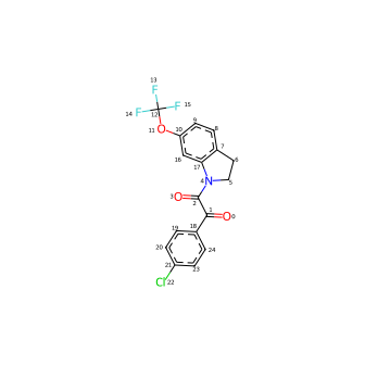 O=C(C(=O)N1CCc2ccc(OC(F)(F)F)cc21)c1ccc(Cl)cc1